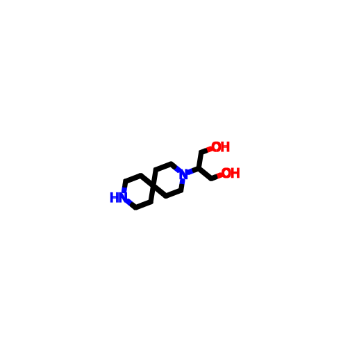 OCC(CO)N1CCC2(CCNCC2)CC1